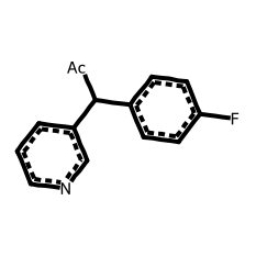 CC(=O)C(c1ccc(F)cc1)c1cccnc1